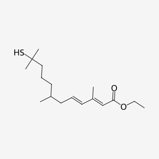 CCOC(=O)/C=C(C)/C=C/CC(C)CCCC(C)(C)S